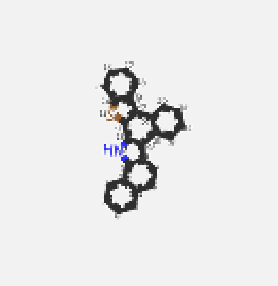 c1ccc2c(c1)ccc1c2[nH]c2c3sc4ccccc4c3c3ccccc3c12